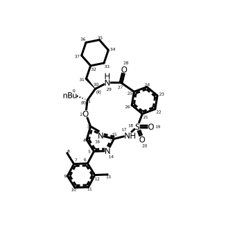 CCCC[C@H]1Oc2cc(-c3c(C)cccc3C)nc(n2)NS(=O)(=O)c2cccc(c2)C(=O)N[C@@H]1CC1CCCCC1